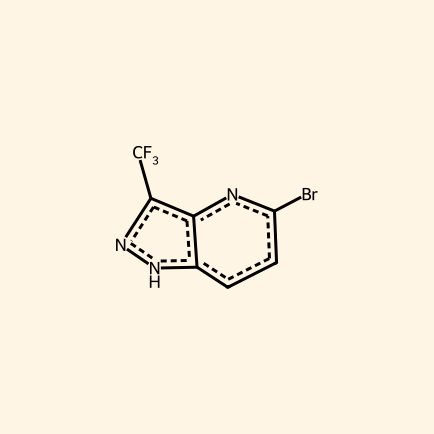 FC(F)(F)c1n[nH]c2ccc(Br)nc12